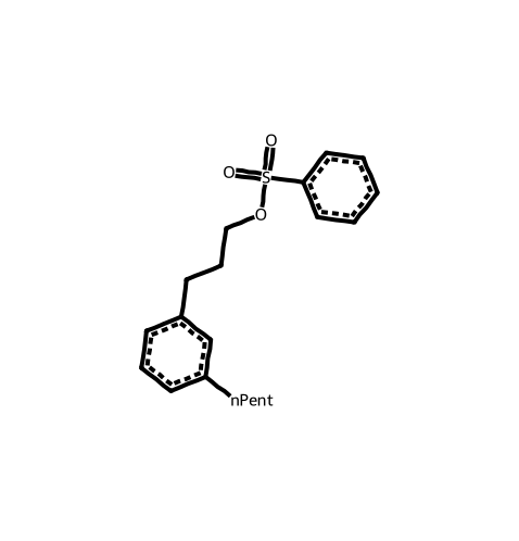 CCCCCc1cccc(CCCOS(=O)(=O)c2ccccc2)c1